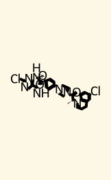 C[C@H](C(=O)N1CCN(c2ccc(S(=O)(=O)Nc3nc(Cl)ncc3C=N)cc2)CC1)N1CCCc2cc(Cl)ccc21